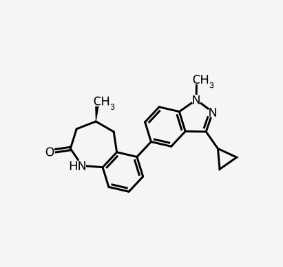 C[C@@H]1CC(=O)Nc2cccc(-c3ccc4c(c3)c(C3CC3)nn4C)c2C1